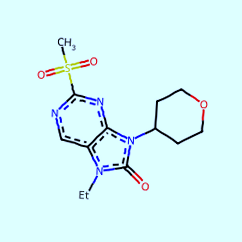 CCn1c(=O)n(C2CCOCC2)c2nc(S(C)(=O)=O)ncc21